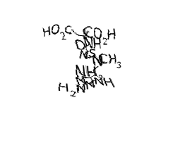 CN(CCC1CNc2nc(N)nc(N)c21)c1cnc(C(=O)N[C@@H](CCC(=O)O)C(=O)O)s1